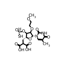 COCCOC1C(O[PH](=O)S)[C@@H](CC(C(=O)O)C(=O)O)O[C@H]1n1cc(C)c(=O)[nH]c1=O